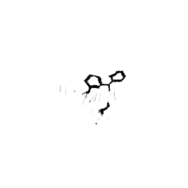 COC(=O)CNCC(c1ccccc1)c1cccc(C(=N)N)c1